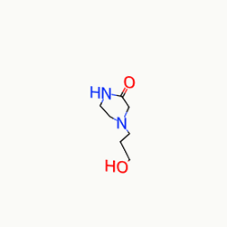 O=C1CN(CCCO)CCN1